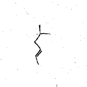 C/C=C/C[C@@H](C)I